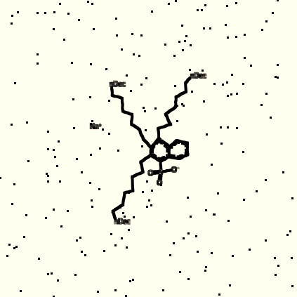 CCCCCCCCCCCCCCCCCc1c(CCCCCCCCCCCCCCCCC)c(S(=O)(=O)[O-])c2ccccc2c1CCCCCCCCCCCCCCCCC.[Na+]